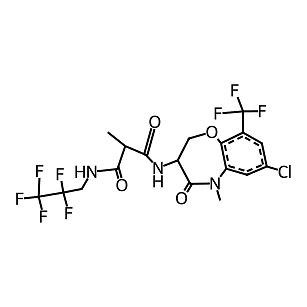 CC(C(=O)NCC(F)(F)C(F)(F)F)C(=O)NC1COc2c(cc(Cl)cc2C(F)(F)F)N(C)C1=O